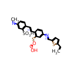 C=Cc1ccc(/C=N/c2ccc(/C=C/c3ccc(N=C)cc3S(=O)(=O)O)c(SOOO)c2)s1